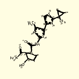 Cc1nc(NC(=O)N2CC[C@@H](O)[C@H]2C(N)=O)sc1-c1csc(C2(C(F)(F)F)CC2)n1